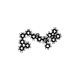 c1ccc(-c2nc(-c3ccc4c(c3)C(c3ccccc3)(c3ccccc3)c3ccccc3-4)nc(-c3ccc4c(c3)oc3cc(-c5cccc(-c6cccc(-c7ccc8c9ccccc9c9ccccc9c8c7)c6)c5)ccc34)n2)cc1